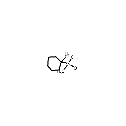 CC1([Si](C)(C)[O])CCCCC1